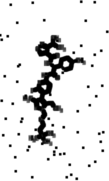 CCc1c(-c2ccc(NC(=O)[C@@H](NC(=O)c3conc3C(C)C)[C@H]3CC[C@H](C)CC3)nc2F)c(C)nn1COCCS(C)(C)C